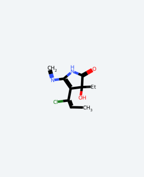 C=NC1=C(/C(Cl)=C\C)C(O)(CC)C(=O)N1